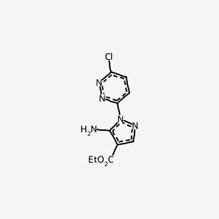 CCOC(=O)c1cnn(-c2ccc(Cl)nn2)c1N